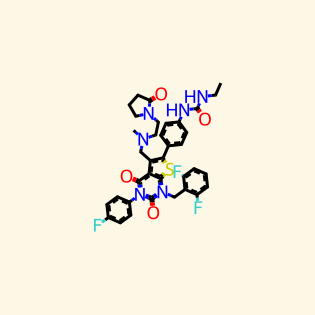 CCNC(=O)Nc1ccc(-c2sc3c(c2CN(C)CCN2CCCC2=O)c(=O)n(-c2ccc(F)cc2)c(=O)n3Cc2c(F)cccc2F)cc1